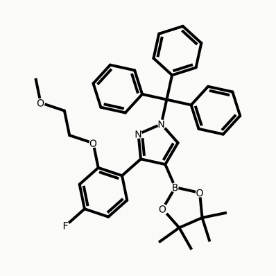 COCCOc1cc(F)ccc1-c1nn(C(c2ccccc2)(c2ccccc2)c2ccccc2)cc1B1OC(C)(C)C(C)(C)O1